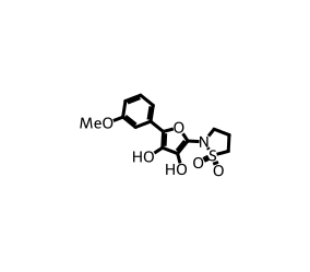 COc1cccc(-c2oc(N3CCCS3(=O)=O)c(O)c2O)c1